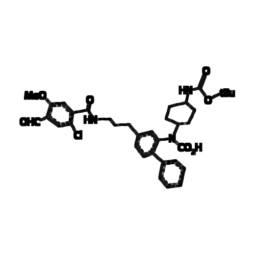 COc1cc(C(=O)NCCCc2ccc(-c3ccccc3)c(N(C(=O)O)C3CCC(NC(=O)OC(C)(C)C)CC3)c2)c(Cl)cc1C=O